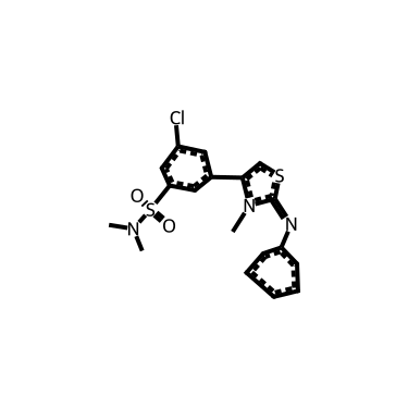 CN(C)S(=O)(=O)c1cc(Cl)cc(-c2cs/c(=N/c3ccccc3)n2C)c1